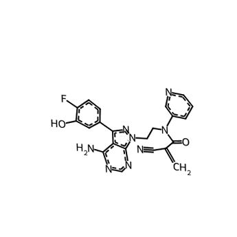 C=C(C#N)C(=O)N(CCn1nc(-c2ccc(F)c(O)c2)c2c(N)ncnc21)c1cccnc1